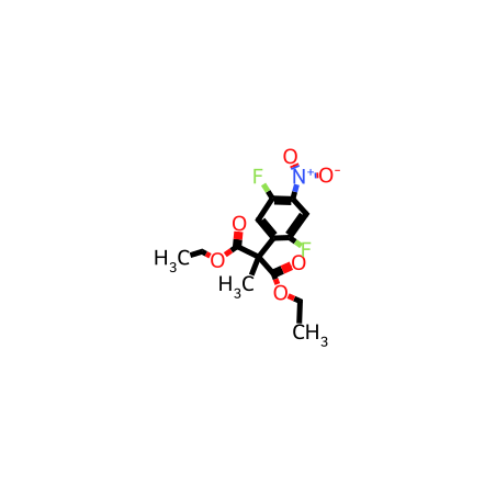 CCOC(=O)C(C)(C(=O)OCC)c1cc(F)c([N+](=O)[O-])cc1F